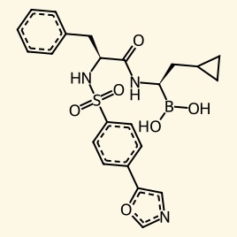 O=C(N[C@@H](CC1CC1)B(O)O)[C@H](Cc1ccccc1)NS(=O)(=O)c1ccc(-c2cnco2)cc1